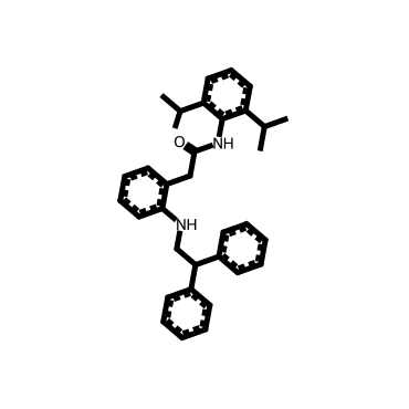 CC(C)c1cccc(C(C)C)c1NC(=O)Cc1ccccc1NCC(c1ccccc1)c1ccccc1